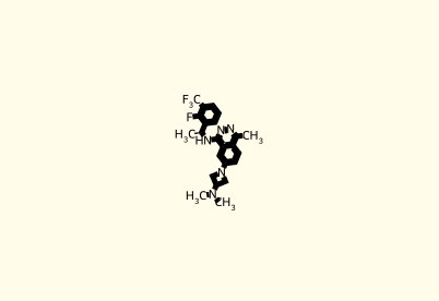 Cc1nnc(N[C@H](C)c2cccc(C(F)(F)F)c2F)c2cc(N3CC(N(C)C)C3)ccc12